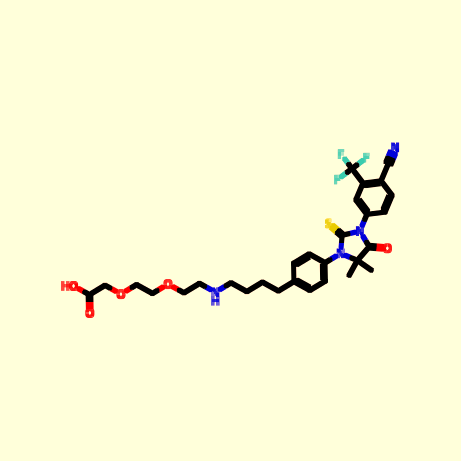 CC1(C)C(=O)N(c2ccc(C#N)c(C(F)(F)F)c2)C(=S)N1c1ccc(CCCCNCCOCCOCC(=O)O)cc1